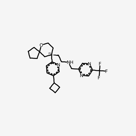 FC(F)(F)c1cnc(CNCC[C@]2(c3ccc(C4CCC4)cn3)CCOC3(CCCC3)C2)cn1